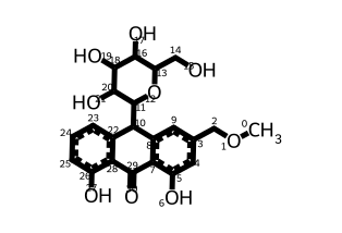 COCc1cc(O)c2c(c1)C(C1OC(CO)C(O)C(O)C1O)c1cccc(O)c1C2=O